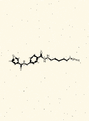 CCCCCOCCCCCNNC(=O)c1ccc(CNC(=O)c2ccoc2)cc1